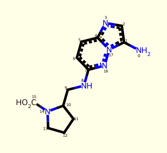 Nc1cnc2ccc(NCC3CCCN3C(=O)O)nn12